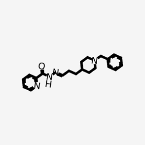 O=C(NN=CCCC1CCN(Cc2ccccc2)CC1)c1ccccn1